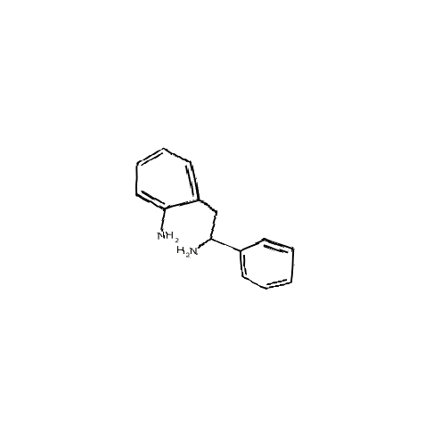 Nc1ccccc1CC(N)c1ccccc1